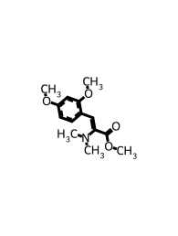 COC(=O)C(=Cc1ccc(OC)cc1OC)N(C)C